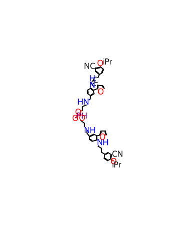 CC(C)Oc1ccc(CCCNc2ccc(CNCCCO[PH](=O)OCCCNCc3ccc(NCCCc4ccc(OC(C)C)c(C#N)c4)c(-c4ccco4)c3)cc2-c2ccco2)cc1C#N